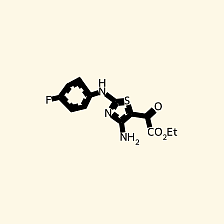 CCOC(=O)C(=O)c1sc(Nc2ccc(F)cc2)nc1N